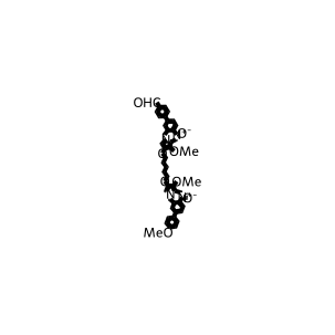 COc1ccc(C2=CC=C3C(C2)Cn2cc(OCCCCCOc4cn5c(c4OC)C=[N+]([O-])C4=CC=C(c6ccc(C=O)cc6)CC4C5)c(OC)c2C=[N+]3[O-])cc1